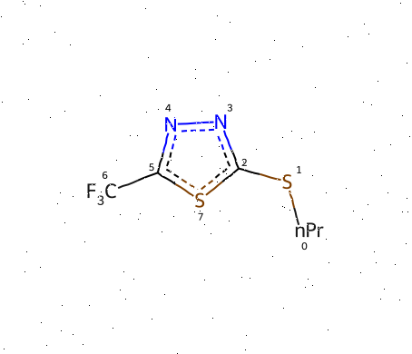 [CH2]CCSc1nnc(C(F)(F)F)s1